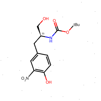 CC(C)(C)OC(=O)N[C@H](CO)Cc1ccc(O)c([N+](=O)[O-])c1